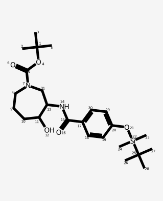 CC(C)(C)OC(=O)N1CCCC(O)C(NC(=O)c2ccc(O[Si](C)(C)C(C)(C)C)cc2)C1